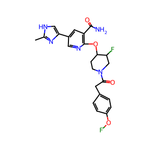 Cc1nc(-c2cnc(OC3CCN(C(=O)Cc4ccc(OF)cc4)CC3F)c(C(N)=O)c2)c[nH]1